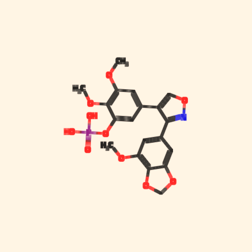 COc1cc(-c2conc2-c2cc(OC)c3c(c2)OCO3)cc(OP(=O)(O)O)c1OC